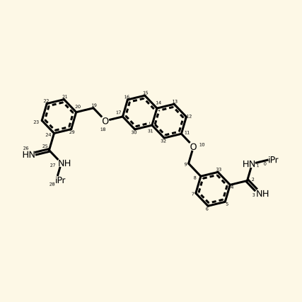 CC(C)NC(=N)c1cccc(COc2ccc3ccc(OCc4cccc(C(=N)NC(C)C)c4)cc3c2)c1